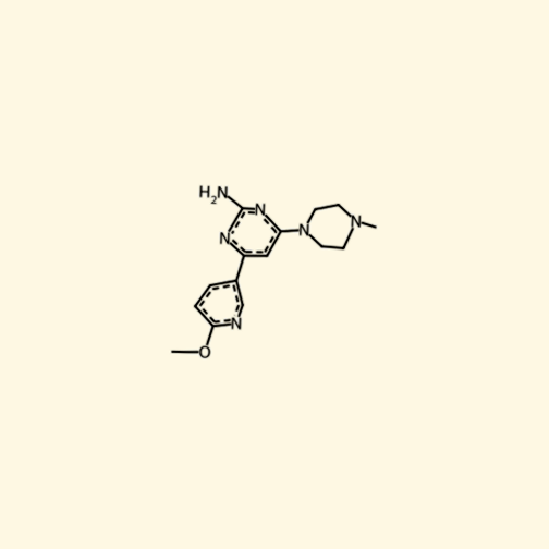 COc1ccc(-c2cc(N3CCN(C)CC3)nc(N)n2)cn1